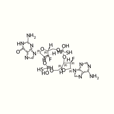 Nc1nc2c(ncn2[C@@H]2O[C@@H]3CO[PH](O)(S)O[C@H]4[C@@H](F)[C@H](n5cnc6c(N)ncnc65)O[C@@H]4CO[PH](O)(S)O[C@@H]2[C@@H]3F)c(=O)[nH]1